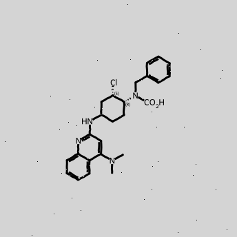 CN(C)c1cc(NC2CC[C@@H](N(Cc3ccccc3)C(=O)O)[C@@H](Cl)C2)nc2ccccc12